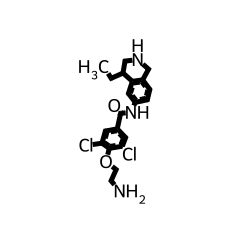 CCC1CNCc2ccc(NC(=O)c3cc(Cl)c(OCCN)c(Cl)c3)cc21